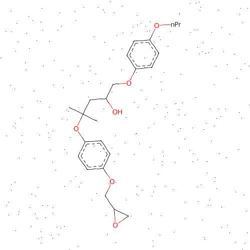 CCCOc1ccc(OCC(O)CC(C)(C)Oc2ccc(OCC3CO3)cc2)cc1